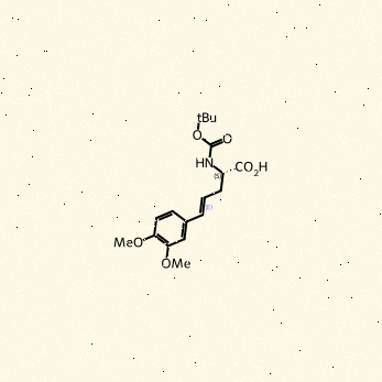 COc1ccc(/C=C/C[C@H](NC(=O)OC(C)(C)C)C(=O)O)cc1OC